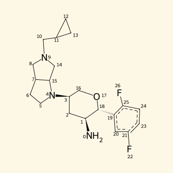 N[C@H]1C[C@@H](N2CCC3CN(CC4CC4)CC32)CO[C@@H]1c1cc(F)ccc1F